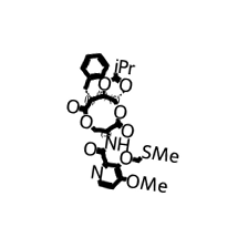 COc1ccnc(C(=O)N[C@H]2COC(=O)[C@H](Cc3ccccc3)[C@@H](OC(=O)C(C)C)[C@H](C)OC2=O)c1OCSC